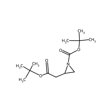 CC(C)(C)OC(=O)CC1CN1C(=O)OC(C)(C)C